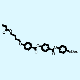 C=CC(=O)OCCCCOc1ccc(C(=O)Oc2ccc(C(=O)Oc3ccc(CCCCCCCCCC)cc3)cc2)cc1